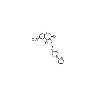 O=C1COc2ccc([N+](=O)[O-])cc2C(=O)N1CCCCN1CCN(c2ccccn2)CC1